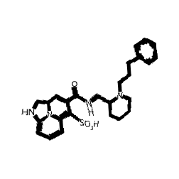 O=C(NCC1CCCCN1CCCc1ccccc1)C1=CC2CNC3=CC=CC(=C1S(=O)(=O)O)N32